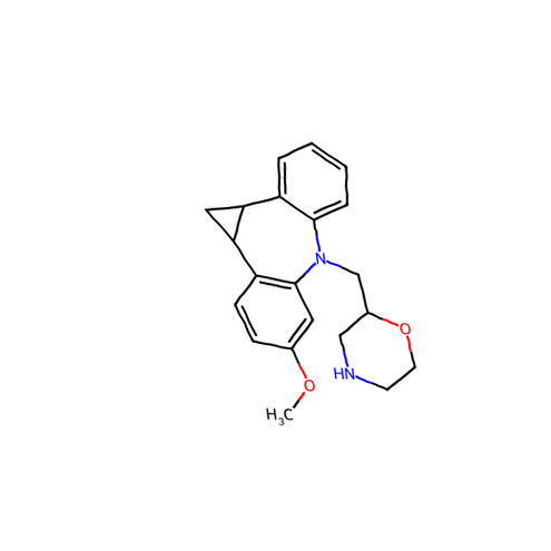 COc1ccc2c(c1)N(CC1CNCCO1)c1ccccc1C1CC21